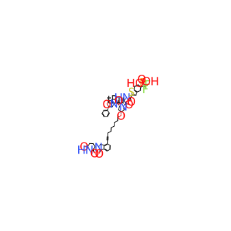 CC(C)(C)C(NC(=O)c1cc2cc(C(F)(F)P(=O)(O)O)ccc2s1)C(=O)N1C[C@@H](OCCCCCCCC#Cc2cccc3c2CN(C2CCC(=O)NC2=O)C3=O)C[C@H]1C(=O)N1CCO[C@H](c2ccccc2)C1